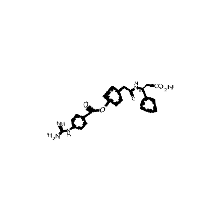 N=C(N)Nc1ccc(C(=O)Oc2ccc(CC(=O)N[C@@H](CC(=O)O)c3ccccc3)cc2)cc1